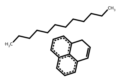 C1=Cc2cccc3cccc(c23)C1.[CH2]CCCCCCCCCCC